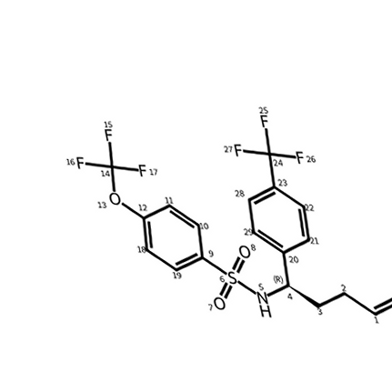 C=CCC[C@@H](NS(=O)(=O)c1ccc(OC(F)(F)F)cc1)c1ccc(C(F)(F)F)cc1